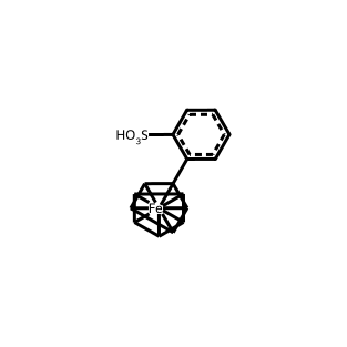 O=S(=O)(O)c1ccccc1[C]12[CH]3[CH]4[CH]5[CH]1[Fe]45321678[CH]2[CH]1[CH]6[CH]7[CH]28